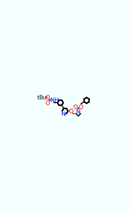 CC(C)(C)OC(=O)NCc1cccc(-c2cncc(OC[C@@H]3CCN3C(=O)OCc3ccccc3)c2)c1